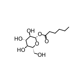 CCCCCC(=O)O[C@@H]1O[C@H](CO)[C@@H](O)[C@H](O)[C@H]1O